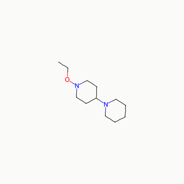 CCON1CCC(N2CCCCC2)CC1